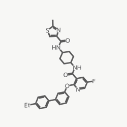 [CH2]Cc1ccc(-c2cccc(Oc3ncc(F)cc3C(=O)NC3CCC(NC(=O)c4csc(C)n4)CC3)c2)cc1